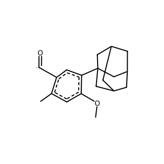 COc1cc(C)c([C]=O)cc1C12CC3CC(CC(C3)C1)C2